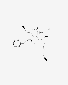 C#CCOCCN1C[C@H]2N(C(=O)CN(CC#C)N2C(=O)NCc2ccccc2)[C@@H](CCSC)C1=O